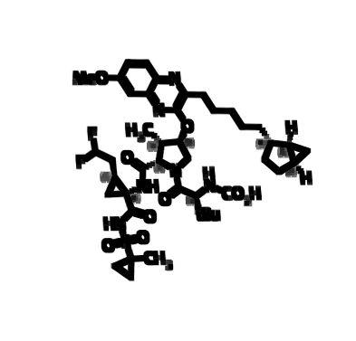 COc1ccc2nc(CCCCC[C@H]3CC[C@@H]4C[C@H]34)c(O[C@H]3CN(C(=O)[C@@H](NC(=O)O)C(C)(C)C)[C@H](C(=O)N[C@]4(C(=O)NS(=O)(=O)C5(C)CC5)C[C@H]4CC(F)F)[C@@H]3C)nc2c1